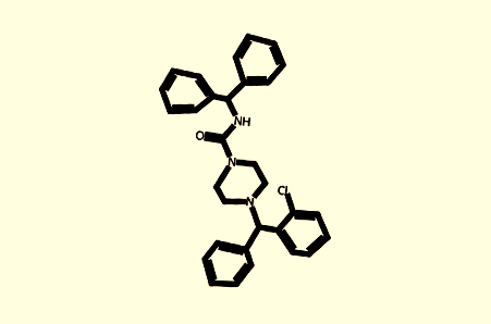 O=C(NC(c1ccccc1)c1ccccc1)N1CCN(C(c2ccccc2)c2ccccc2Cl)CC1